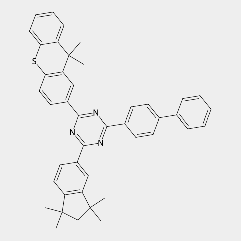 CC1(C)CC(C)(C)c2cc(-c3nc(-c4ccc(-c5ccccc5)cc4)nc(-c4ccc5c(c4)C(C)(C)c4ccccc4S5)n3)ccc21